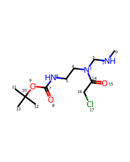 CNCN(CCNC(=O)OC(C)(C)C)C(=O)CCl